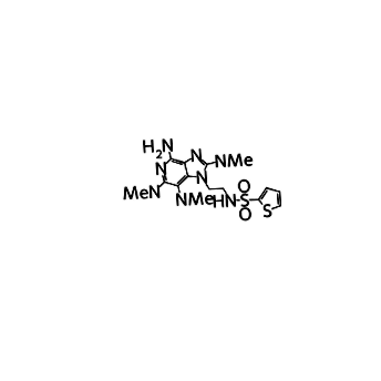 CNc1nc(N)c2nc(NC)n(CCNS(=O)(=O)c3cccs3)c2c1NC